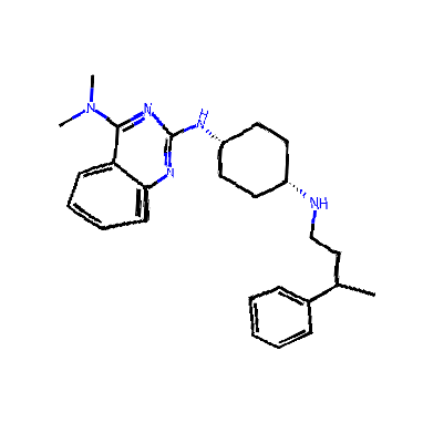 CC(CCN[C@H]1CC[C@@H](Nc2nc(N(C)C)c3ccccc3n2)CC1)c1ccccc1